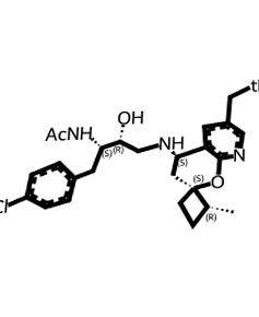 CC(=O)N[C@@H](Cc1ccc(Cl)cc1)[C@H](O)CN[C@H]1C[C@]2(CC[C@H]2C)Oc2ncc(CC(C)(C)C)cc21